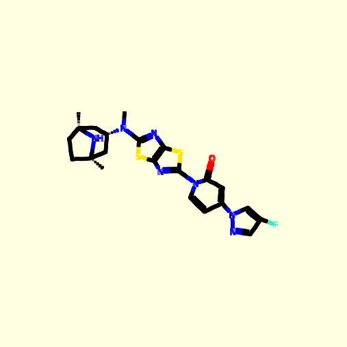 CN(c1nc2sc(-n3ccc(-n4cc(F)cn4)cc3=O)nc2s1)[C@H]1C[C@]2(C)CC[C@](C)(C1)N2